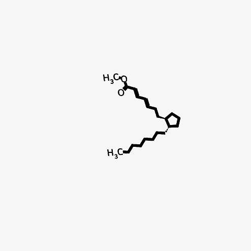 CCCCCCCC[C@H]1CCC[C@@H]1CCC=CC=CC(=O)OC